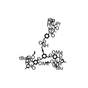 C=CCOC(=O)N1c2cc(OCc3cc(C#CCNC(=O)OCc4ccc(NC(=O)[C@H](C)NC(=O)[C@@H](NC(=O)OC(C)(C)C)C(C)C)cc4)cc(COc4cc5c(cc4OC)C(=O)N4C=C(C)C[C@H]4[C@H](O[Si](C)(C)C(C)(C)C)N5C(=O)OCC=C)c3)c(OC)cc2C(=O)N2C=C(C)C[C@H]2[C@@H]1O[Si](C)(C)C(C)(C)C